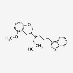 CCN(CCCc1csc2ccccc12)C1COc2cccc(OC)c2C1.Cl